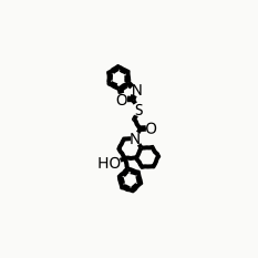 O=C(CSc1nc2ccccc2o1)N1CCC(O)(c2ccccc2)C2CCCCC21